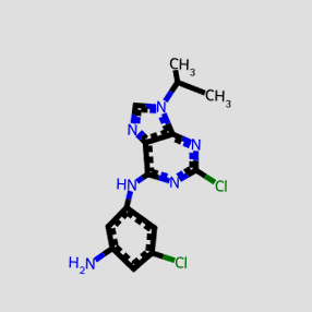 CC(C)n1cnc2c(Nc3cc(N)cc(Cl)c3)nc(Cl)nc21